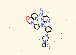 CN1CCN(c2cccc(Nc3ncc(F)c(Nc4ccc5c(n4)N(C4CCCC4)CCO5)n3)c2)CC1